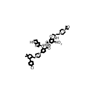 CC1(C)CCC(CN2CCN(c3ccc(C(=O)NS(=O)(=O)c4cc5c(c([N+](=O)[O-])c4)N[C@@H](CCN4CCN(C6COC6)CC4)CO5)c(Oc4cnc5[nH]ccc5c4)c3)CC2)=C(c2ccc(Cl)cc2)C1